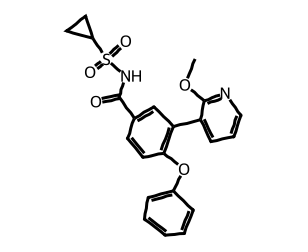 COc1ncccc1-c1cc(C(=O)NS(=O)(=O)C2CC2)ccc1Oc1ccccc1